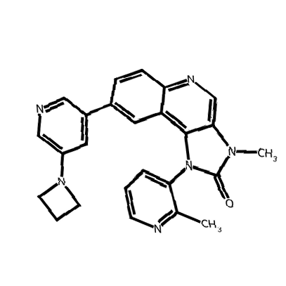 Cc1ncccc1-n1c(=O)n(C)c2cnc3ccc(-c4cncc(N5CCC5)c4)cc3c21